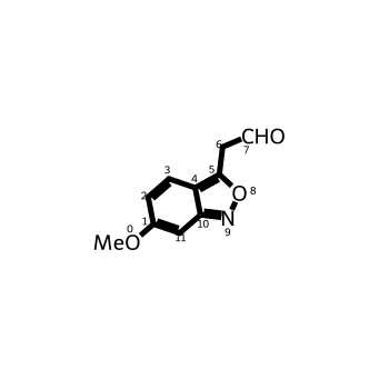 COc1ccc2c(CC=O)onc2c1